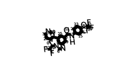 C[C@H](C(F)F)n1cnc2cc(C(=O)Nc3ccc(OC(F)(F)Cl)cc3)cc(-c3cccnn3)c21